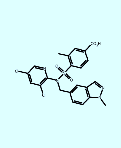 Cc1cc(C(=O)O)ccc1S(=O)(=O)N(Cc1ccc2c(cnn2C)c1)c1ncc(Cl)cc1Cl